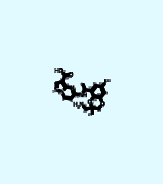 CC(Nc1ccn2ncc(C(=O)O)c2n1)c1cc(F)cc2c1OC(C)(CN)CO2